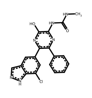 CNC(=O)Nc1nc(-c2ccccc2)c(-c2cc(Cl)c3[nH]ncc3c2)nc1O